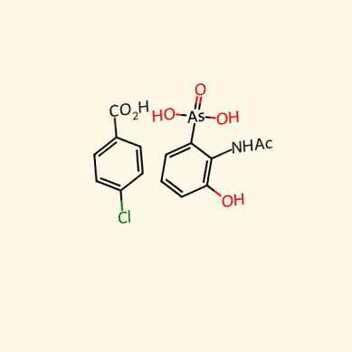 CC(=O)Nc1c(O)cccc1[As](=O)(O)O.O=C(O)c1ccc(Cl)cc1